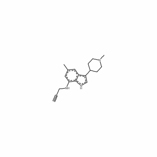 C#CCNc1cc(C)cc2c(C3CCN(C)CC3)c[nH]c12